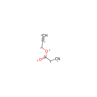 C#CCOC(=O)CC#N